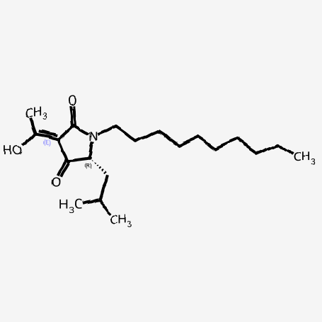 CCCCCCCCCCN1C(=O)/C(=C(\C)O)C(=O)[C@H]1CC(C)C